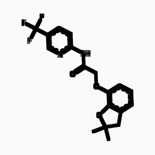 CC1(C)Cc2cccc(OCC(=O)Nc3ccc(C(F)(F)F)cn3)c2O1